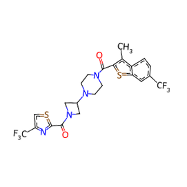 Cc1c(C(=O)N2CCN(C3CN(C(=O)c4nc(C(F)(F)F)cs4)C3)CC2)sc2cc(C(F)(F)F)ccc12